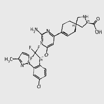 Cc1ccn(-c2cc(Cl)ccc2[C@@H](Oc2cc(C3=CC[C@@]4(CC3)CN[C@@H](C(=O)O)C4)nc(N)n2)C(F)(F)F)n1